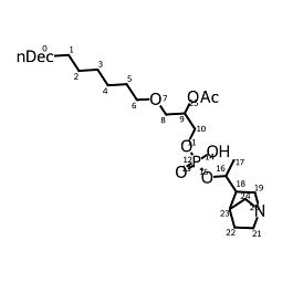 CCCCCCCCCCCCCCCCOCC(COP(=O)(O)OC(C)C1CN2CCC1C2)OC(C)=O